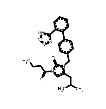 CCCC(=O)n1cc(CC(C)C)n(Cc2ccc(-c3ccccc3-c3nnn[nH]3)cc2)c1=O